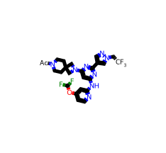 CC(=O)N1CCC2(CC1)CN(c1cc(Nc3cc(OC(F)F)ccn3)nc(-c3cnn(CC(F)(F)F)c3)n1)C2